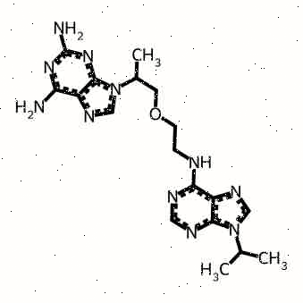 CC(C)n1cnc2c(NCCOCC(C)n3cnc4c(N)nc(N)nc43)ncnc21